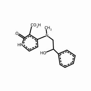 CN(CC(O)c1ccccc1)c1cc[nH]c(=O)c1C(=O)O